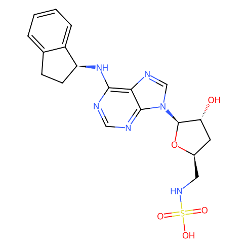 O=S(=O)(O)NC[C@@H]1C[C@@H](O)[C@H](n2cnc3c(N[C@H]4CCc5ccccc54)ncnc32)O1